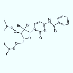 O=C(Nc1ccn([C@@H]2O[C@H](COSP(I)I)[C@@H](OSP(I)I)C2(Br)Br)c(=O)n1)c1ccccc1